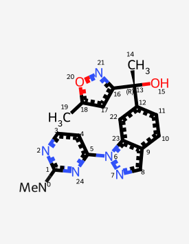 CNc1nccc(-n2ncc3ccc([C@@](C)(O)c4cc(C)on4)cc32)n1